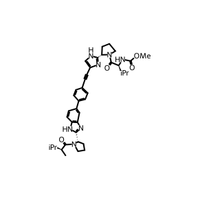 COC(=O)N[C@H](C(=O)N1CCC[C@H]1c1nc(C#Cc2ccc(-c3ccc4[nH]c([C@@H]5CCCN5C(=O)[C@@H](C)C(C)C)nc4c3)cc2)c[nH]1)C(C)C